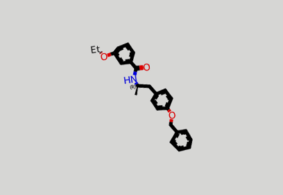 CCOc1cccc(C(=O)N[C@H](C)Cc2ccc(OCc3ccccc3)cc2)c1